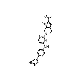 CC(=O)c1cc2c(n1C)CN(c1nccc(Nc3ccc(-c4cn[nH]c4)cc3)n1)CC2